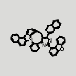 c1ccc2c(c1)-c1nc(-c3cccc4oc5ccccc5c34)nc(-c3ccc4ccccc4c3)c1Cc1ccc3c4c5ccccc5ccc4n-2c3c1